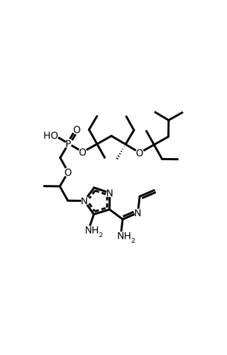 C=C/N=C(/N)c1ncn(CC(C)OCP(=O)(O)OC(C)(CC)C[C@@](C)(CC)OC(C)(CC)CC(C)C)c1N